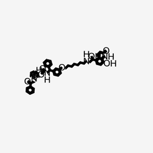 O=C(NC(c1ccccc1)c1cccc(OCCCCCCCNCC(O)c2ccc(O)c3[nH]c(=O)ccc23)c1)O[C@H]1C[N+]2(CC(=O)c3ccccc3)CCC1CC2